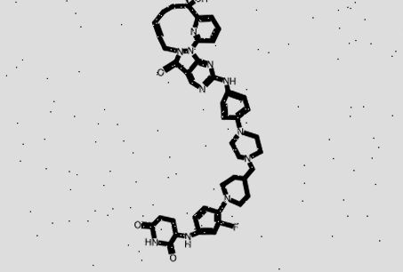 C[C@]1(O)CC/C=C\Cn2c(=O)c3cnc(Nc4ccc(N5CCN(CC6CCN(c7ccc(NC8CCC(=O)NC8=O)cc7F)CC6)CC5)cc4)nc3n2-c2cccc1n2